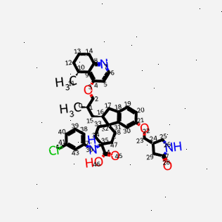 C[C@@H](COc1ccnc2c1[C@H](C)CCC2)C[C@H]1Cc2ccc(OCC3CNC(=O)C3)cc2C12CCC(Nc1cccc(Cl)c1)(C(=O)O)CC2